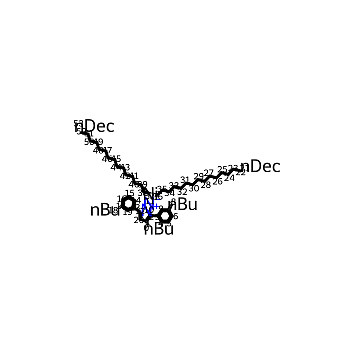 CCCCC1=C(c2cccc(CCCC)c2)[N+](=[N-])C(c2cccc(CCCC)c2)=C1.CCCCCCCCCCCCCCCCCCCCCCCC[CH2][Ni][CH2]CCCCCCCCCCCCCCCCCCCCCCCC